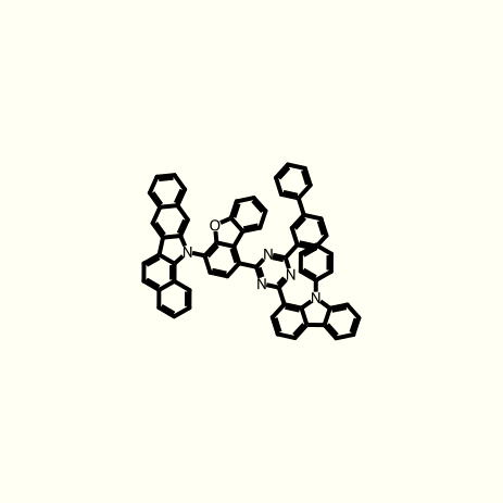 c1ccc(-c2cccc(-c3nc(-c4ccc(-n5c6cc7ccccc7cc6c6ccc7ccccc7c65)c5oc6ccccc6c45)nc(-c4cccc5c6ccccc6n(-c6ccccc6)c45)n3)c2)cc1